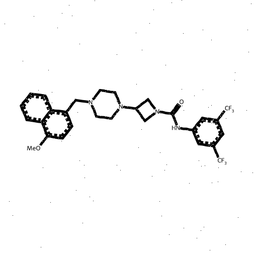 COc1ccc(CN2CCN(C3CN(C(=O)Nc4cc(C(F)(F)F)cc(C(F)(F)F)c4)C3)CC2)c2ccccc12